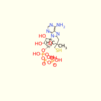 CC(C)(CS)Cc1nc2c(N)ncnc2n1[C@@H]1O[C@H](COP(=O)(O)OP(=O)(O)OP(=O)(O)O)C(O)C1O